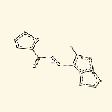 Cc1nc2sccn2c1/C=C/C(=O)c1cccs1